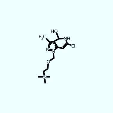 C[Si](C)(C)CCOCn1nc(C(F)(F)F)c2c1C=C(Cl)NC2O